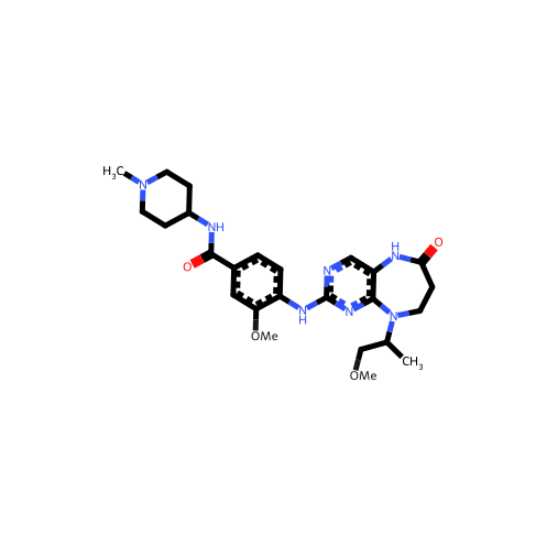 COCC(C)N1CCC(=O)Nc2cnc(Nc3ccc(C(=O)NC4CCN(C)CC4)cc3OC)nc21